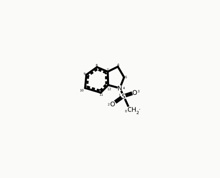 [CH2]S(=O)(=O)N1CCc2ccccc21